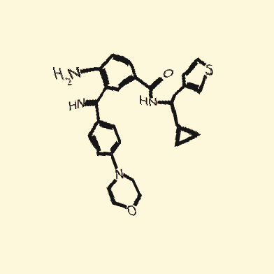 N=C(c1ccc(N2CCOCC2)cc1)c1cc(C(=O)NC(c2ccsc2)C2CC2)ccc1N